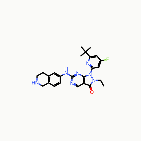 CCn1c(=O)c2cnc(Nc3ccc4c(c3)CCNC4)nc2n1-c1cc(F)cc(C(C)(C)C)n1